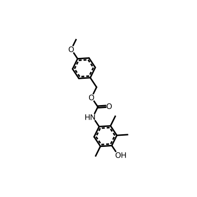 COc1ccc(COC(=O)Nc2cc(C)c(O)c(C)c2C)cc1